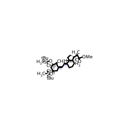 C=C1/C(=C\C=C2/CCC[C@]3(C)[C@@H]([C@H](C)C(=O)OC)CC[C@@H]23)C[C@@H](O[Si](C)(C)C(C)(C)C)C[C@@H]1O[Si](C)(C)C(C)(C)C